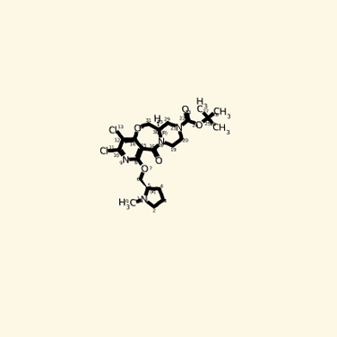 CN1CCC[C@@H]1COc1nc(Cl)c(Cl)c2c1C(=O)N1CCN(C(=O)OC(C)(C)C)C[C@@H]1CO2